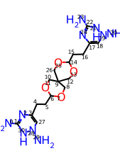 NC1=NC(CCC2OCC3(CO2)COC(CCC2=CN(N)NC(N)=N2)OC3)=CN(N)N1